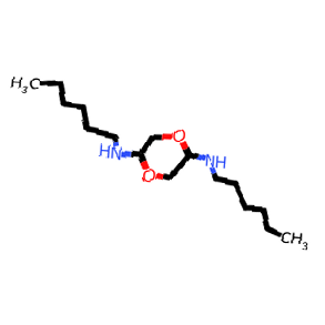 CCCCCCNC1COC(NCCCCCC)CO1